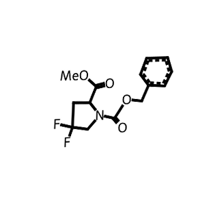 COC(=O)C1CC(F)(F)CN1C(=O)OCc1ccccc1